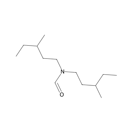 CCC(C)CCN(C=O)CCC(C)CC